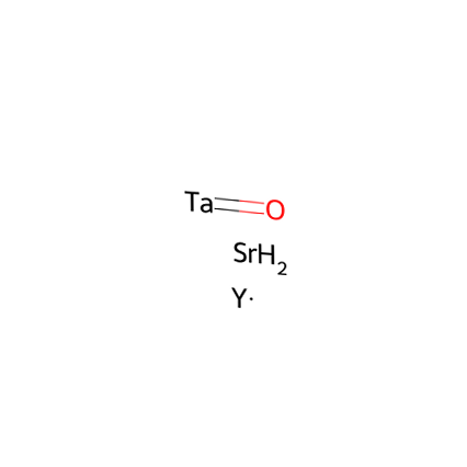 [O]=[Ta].[SrH2].[Y]